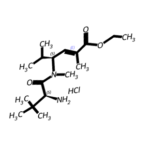 CCOC(=O)/C(C)=C/[C@H](C(C)C)N(C)C(=O)[C@@H](N)C(C)(C)C.Cl